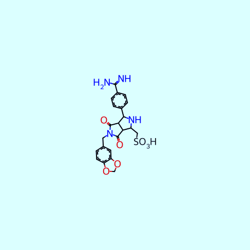 N=C(N)c1ccc(C2NC(CS(=O)(=O)O)C3C(=O)N(Cc4ccc5c(c4)OCO5)C(=O)C23)cc1